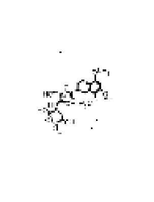 COc1cc(OC)c(OC)c2c1CCC(C(=O)N[C@@H](CO)C(=O)N[C@@H](CC(C)C)B(O)O)C2